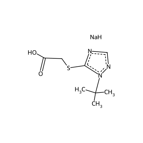 CC(C)(C)n1ncnc1SCC(=O)O.[NaH]